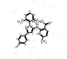 Cc1ccc(C(=O)O)c(Nc2cc(-c3ccc(F)cc3)nn2-c2c(C)cccc2C)n1